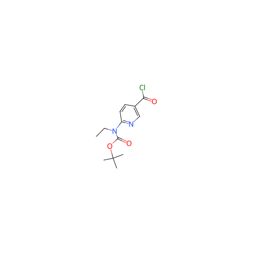 CCN(C(=O)OC(C)(C)C)c1ccc(C(=O)Cl)cn1